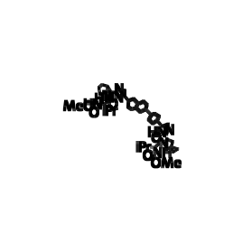 COC(=O)NC(C(=O)N1[C@@H]2CCC(C2)[C@H]1c1ncc(-c2ccc3cc(-c4ccc(-c5cnc([C@@H]6CC7(CC7)CN6C(=O)[C@@H](NC(=O)OC)C(C)C)[nH]5)cc4)ccc3c2)[nH]1)C(C)C